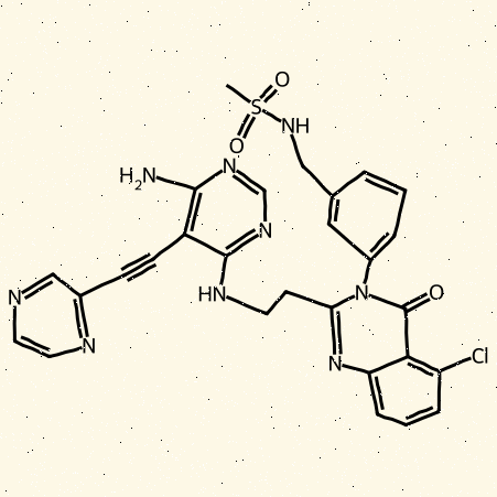 CS(=O)(=O)NCc1cccc(-n2c(CCNc3ncnc(N)c3C#Cc3cnccn3)nc3cccc(Cl)c3c2=O)c1